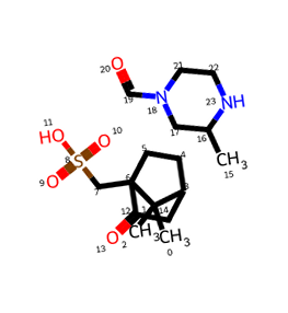 CC1(C)C2CCC1(CS(=O)(=O)O)C(=O)C2.CC1CN(C=O)CCN1